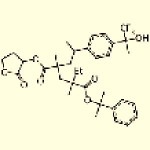 CCC(C)(CC(C)(CC(C)c1ccc(C(C)(O)C(F)(F)F)cc1)C(=O)OC1CCOC1=O)C(=O)OC(C)(C)c1ccccc1